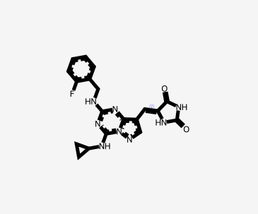 O=C1NC(=O)/C(=C/c2cnn3c(NC4CC4)nc(NCc4ccccc4F)nc23)N1